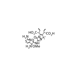 C=CC(C(=O)O)C1=C(C(C=C)C(=O)O)C(C)(C)N2C[C@H](NC(=O)C(N)(OC)c3csc(N)n3)C(=O)N12